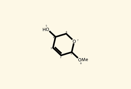 COC1C=CC(O)CO1